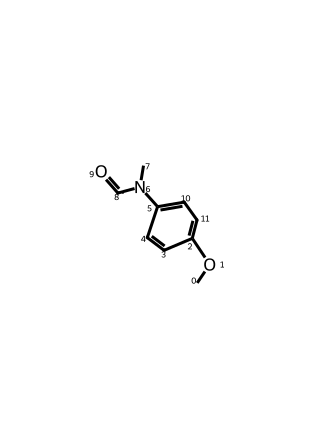 COc1ccc(N(C)[C]=O)cc1